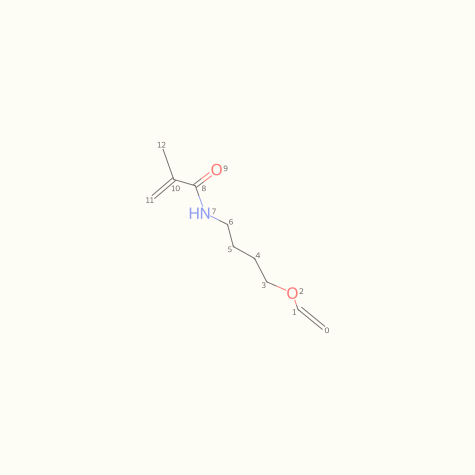 C=COCCCCNC(=O)C(=C)C